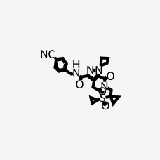 N#Cc1ccc(CNC(=O)c2nn(C3CCC3)c3c2CCN(CC2(S(=O)(=O)C4CC4)CC2)C3=O)cc1